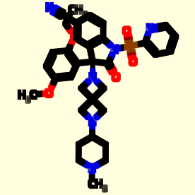 CCOc1ccc(OC)cc1[C@@]1(N2CC3(CN(C4CCN(C)CC4)C3)C2)C(=O)N(S(=O)(=O)c2ccccn2)c2ccc(C#N)cc21